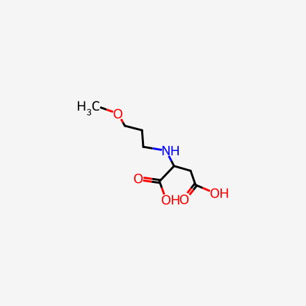 COCCCNC(CC(=O)O)C(=O)O